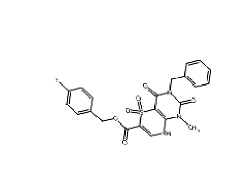 Cn1c2c(c(=O)n(Cc3ccccc3)c1=O)S(=O)(=O)C(C(=O)OCc1ccc(F)cc1)=CN2